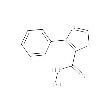 N=C(NO)c1scnc1-c1ccccc1